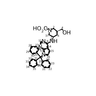 O=C(O)N1C[C@@H](CO)C[C@@H](Nc2ncnc3c2ccn3C(c2ccccc2)(c2ccccc2)c2ccccc2)C1